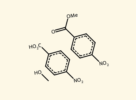 CO.COC(=O)c1ccc([N+](=O)[O-])cc1.O=C(O)c1ccc([N+](=O)[O-])cc1